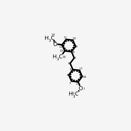 COc1ccc(CCc2[c]ccc(OC)c2C)cc1